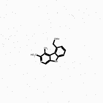 COCc1cccc2[nH]c3cnc(C(=O)O)c(C)c3c12